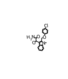 Cn1c(COc2ccc(Cl)cc2)c(C(=O)C(N)=O)c2ccccc21